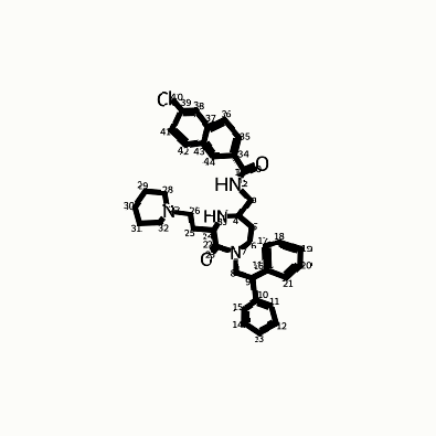 O=C(NCC1CCN(CC(c2ccccc2)c2ccccc2)C(=O)C(CCN2CCCCC2)N1)c1ccc2cc(Cl)ccc2c1